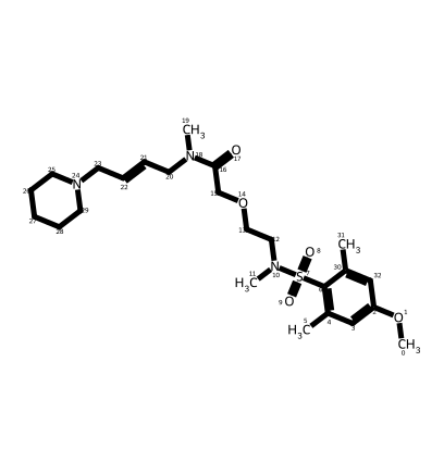 COc1cc(C)c(S(=O)(=O)N(C)CCOCC(=O)N(C)C/C=C/CN2CCCCC2)c(C)c1